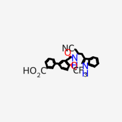 N#CCC(Cc1c[nH]c2ccccc12)NC(=O)c1cc(-c2cccc(C(=O)O)c2)ccc1OC(F)(F)F